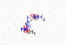 C=CS(=O)(=O)NCC(=O)Nc1cccc(NCC#Cc2cc(O)c3nc(N)sc3c2)c1